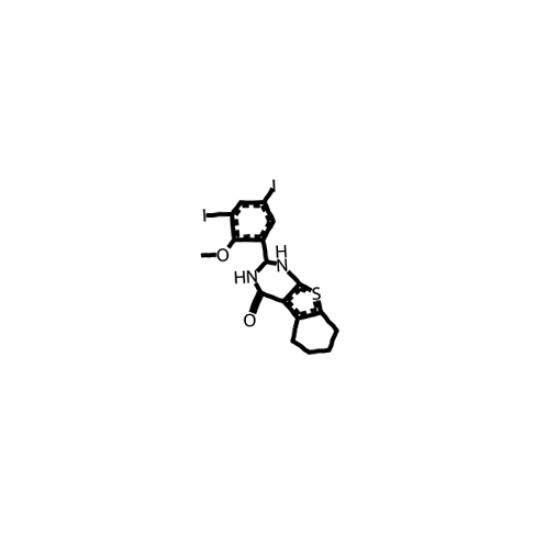 COc1c(I)cc(I)cc1C1NC(=O)c2c(sc3c2CCCC3)N1